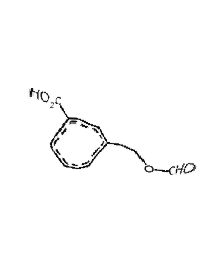 O=COCc1cccc(C(=O)O)c1